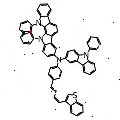 C(=C/c1csc2ccccc12)/C=C/c1ccc(N(c2ccc3c(c2)c2ccccc2n3-c2ccccc2)c2ccc3c(c2)c2ccc4c5ccccc5n(-c5ccccc5)c4c2n3-c2ccccc2)cc1